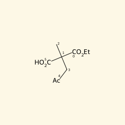 CCOC(=O)C(C)(CC(C)=O)C(=O)O